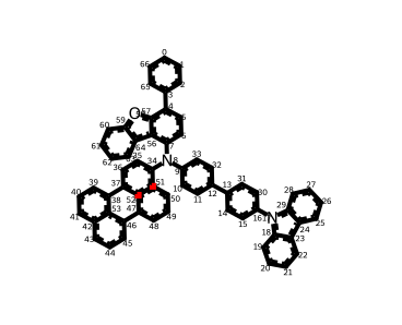 c1ccc(-c2ccc(N(c3ccc(-c4ccc(-n5c6ccccc6c6ccccc65)cc4)cc3)c3ccc(-c4cccc5cccc(-c6ccccc6)c45)cc3)c3c2oc2ccccc23)cc1